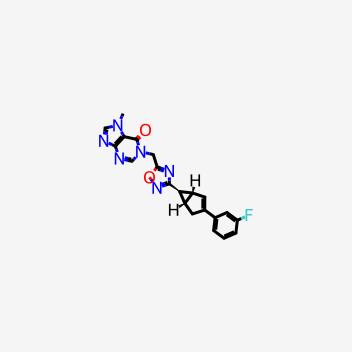 Cn1cnc2ncn(Cc3nc([C@H]4[C@@H]5C=C(c6cccc(F)c6)C[C@@H]54)no3)c(=O)c21